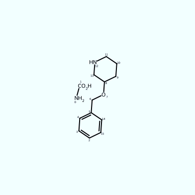 NC(=O)O.c1ccc(COC2CCCNC2)cc1